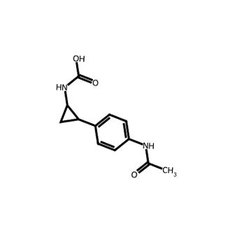 CC(=O)Nc1ccc(C2CC2NC(=O)O)cc1